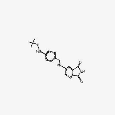 CC(C)(C)SNc1ccc(CNc2ccc3c(c2)C(=O)NC3=O)cc1